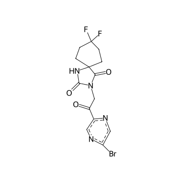 O=C(CN1C(=O)NC2(CCC(F)(F)CC2)C1=O)c1cnc(Br)cn1